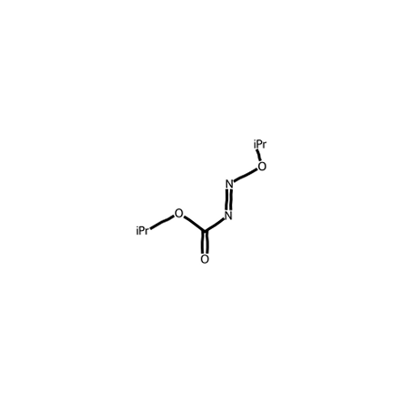 CC(C)ON=NC(=O)OC(C)C